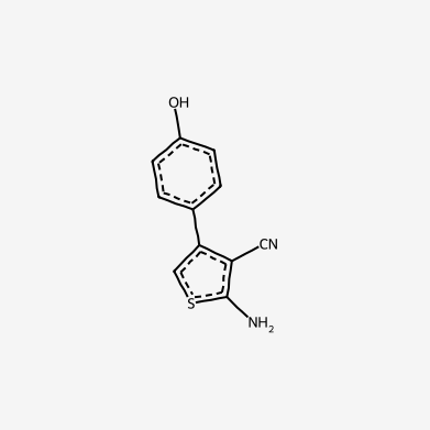 N#Cc1c(-c2ccc(O)cc2)csc1N